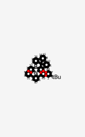 CC(C)(C)c1ccc(-c2cc3c4c(c2)C(c2ccccc2)(c2ccccc2)c2ccccc2B4c2ccccc2N3c2c(-c3ccccc3)cccc2-c2ccccc2)cc1